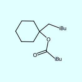 CCC(C)CC1(OC(=O)C(C)CC)CCCCC1